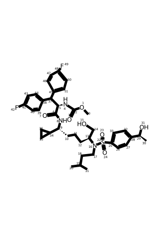 COC(=O)N[C@H](C(=O)N[C@H](CCC[C@@H](CO)N(CCC(C)C)S(=O)(=O)c1ccc([C@H](C)O)cc1)C1CC1)C(c1ccc(F)cc1)c1ccc(F)cc1